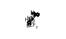 O=C(NCC1c2ccccc2-c2cncn21)Nc1ccc(Br)c(C(F)(F)F)c1